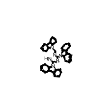 N=C(/N=C(\N=C\n1c2ccccc2c2ccccc21)n1c2ccccc2c2ccccc21)n1c2ccccc2c2ccccc21